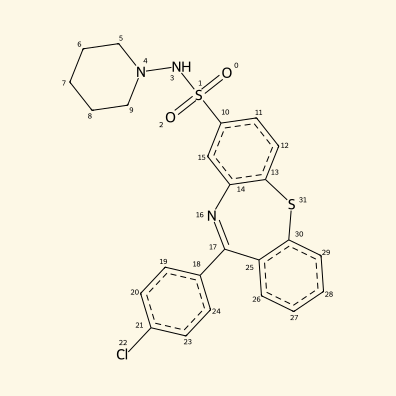 O=S(=O)(NN1CCCCC1)c1ccc2c(c1)N=C(c1ccc(Cl)cc1)c1ccccc1S2